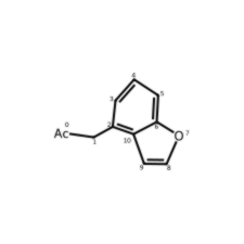 CC(=O)Cc1cccc2occc12